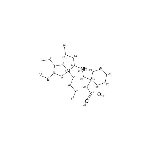 CCCC[N+](CCCC)(CCCC)C(CCC)NCC1(CC(=O)[O-])CCCCC1